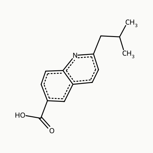 CC(C)Cc1ccc2cc(C(=O)O)ccc2n1